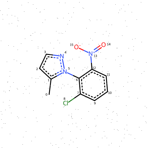 Cc1ccnn1-c1c(Cl)cccc1[N+](=O)[O-]